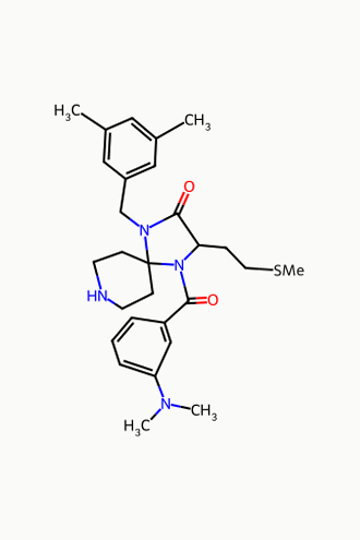 CSCCC1C(=O)N(Cc2cc(C)cc(C)c2)C2(CCNCC2)N1C(=O)c1cccc(N(C)C)c1